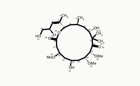 CC[C@H](/C=C(/C)[C@@H]1C[C@@H](C)C[C@H](O)C(C)(C)C(=O)[C@H](OC)[C@H](OC)C[C@@H](O)C[C@@H](OC)CC(=O)O1)CO